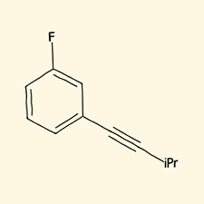 CC(C)C#Cc1cccc(F)c1